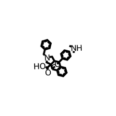 CNC.O=C(O)C12CN(Cc3ccccc3)CC1C1(c3ccccc3)CCC2c2ccccc21